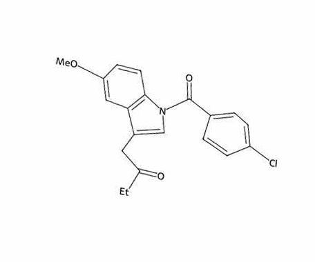 CCC(=O)Cc1cn(C(=O)c2ccc(Cl)cc2)c2ccc(OC)cc12